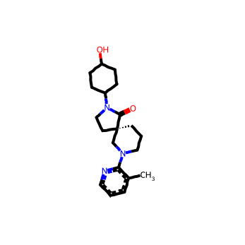 Cc1c[c]cnc1N1CCC[C@@]2(CCN(C3CCC(O)CC3)C2=O)C1